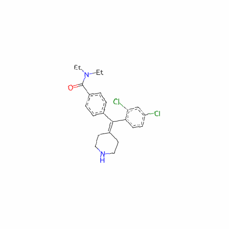 CCN(CC)C(=O)c1ccc(C(=C2CCNCC2)c2ccc(Cl)cc2Cl)cc1